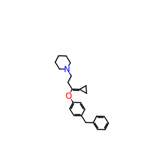 c1ccc(Cc2ccc(OC(CCN3CCCCC3)=C3CC3)cc2)cc1